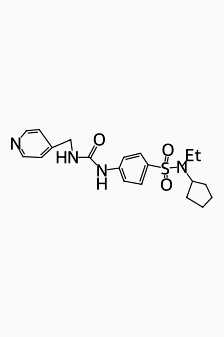 CCN(C1CCCC1)S(=O)(=O)c1ccc(NC(=O)NCc2ccncc2)cc1